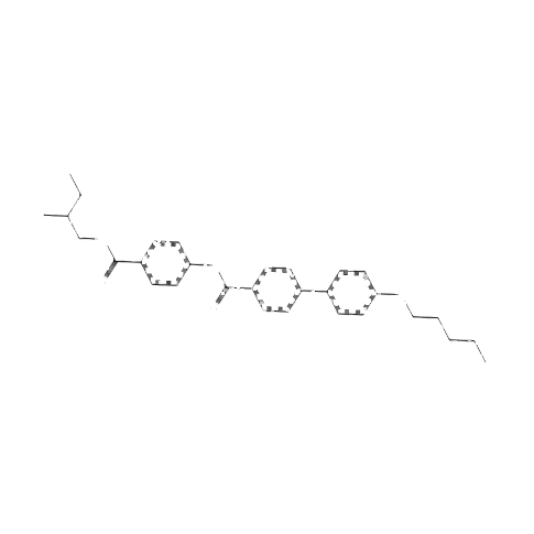 CCCCCOc1ccc(-c2ccc(C(=O)Oc3ccc(C(=O)OCC(C)CC)cc3)cc2)cc1